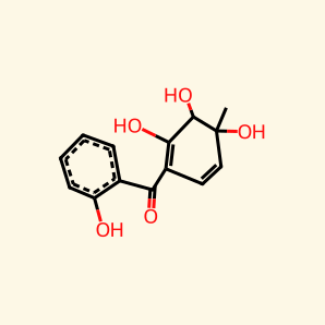 CC1(O)C=CC(C(=O)c2ccccc2O)=C(O)C1O